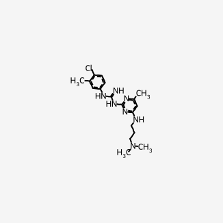 Cc1cc(NCCCN(C)C)nc(NC(=N)Nc2ccc(Cl)c(C)c2)n1